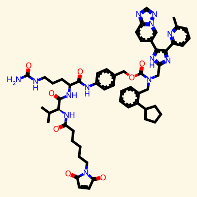 Cc1cccc(-c2nc(CN(Cc3ccccc3C3CCCC3)C(=O)OCc3ccc(NC(=O)C(CCCNC(N)=O)NC(=O)[C@@H](NC(=O)CCCCCN4C(=O)C=CC4=O)C(C)C)cc3)[nH]c2-c2ccc3ncnn3c2)n1